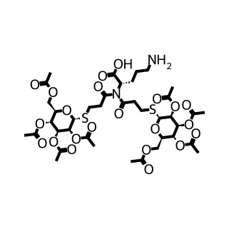 CC(=O)OC[C@H]1O[C@H](SCCC(=O)N(C(=O)CCS[C@H]2O[C@H](COC(C)=O)[C@@H](OC(C)=O)[C@H](OC(C)=O)[C@@H]2OC(C)=O)[C@@H](CCCN)C(=O)O)[C@@H](OC(C)=O)[C@@H](OC(C)=O)[C@@H]1OC(C)=O